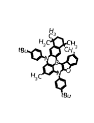 Cc1cc2c3c(c1)N(c1ccc(C(C)(C)C)cc1)c1oc4ccccc4c1B3c1cc3c(cc1N2c1ccc(C(C)(C)C)cc1)C(C)(C)CCC3(C)C